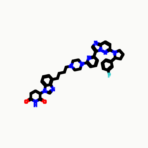 O=C1CCC(n2cnc3c(CCCCN4CCN(c5cccc(-c6cnc7ccc(N8CCCC8c8cccc(F)c8)nn67)n5)CC4)cccc32)C(=O)N1